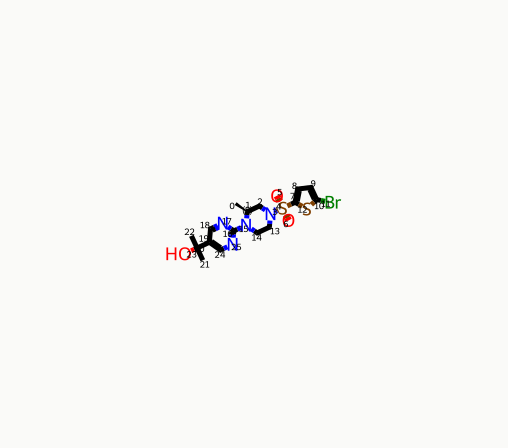 C[C@H]1CN(S(=O)(=O)c2ccc(Br)s2)CCN1c1ncc(C(C)(C)O)cn1